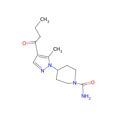 CCCC(=O)c1cnn(C2CCN(C(N)=O)CC2)c1C